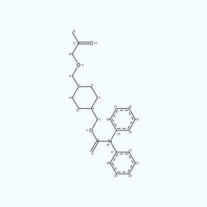 C=C(OCC1CCC(COCC(C)=O)CC1)N(c1ccccc1)c1ccccc1